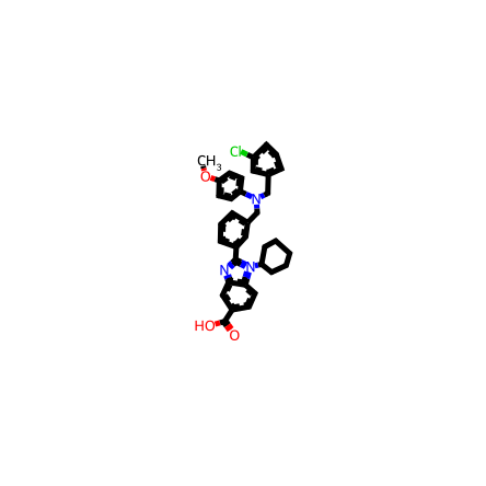 COc1ccc(N(Cc2cccc(Cl)c2)Cc2cccc(-c3nc4cc(C(=O)O)ccc4n3C3CCCCC3)c2)cc1